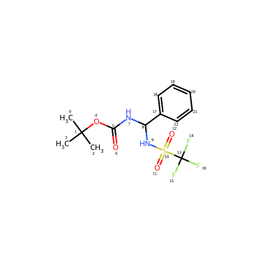 CC(C)(C)OC(=O)NC(NS(=O)(=O)C(F)(F)F)c1ccccc1